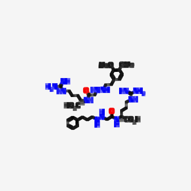 COc1ccc(CCNNCC(=O)N[C@@H](CCCNC(=N)N)C(=O)O)cc1OC.N=C(N)NCCC[C@H](NC(=O)CNNCCCc1ccccc1)C(=O)O